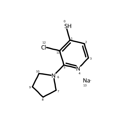 Sc1ccnc(N2CCCC2)c1Cl.[Na]